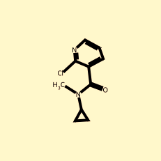 CN(C(=O)c1c[c]cnc1Cl)C1CC1